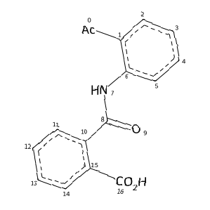 CC(=O)c1ccccc1NC(=O)c1ccccc1C(=O)O